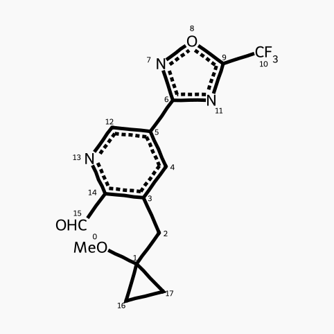 COC1(Cc2cc(-c3noc(C(F)(F)F)n3)cnc2C=O)CC1